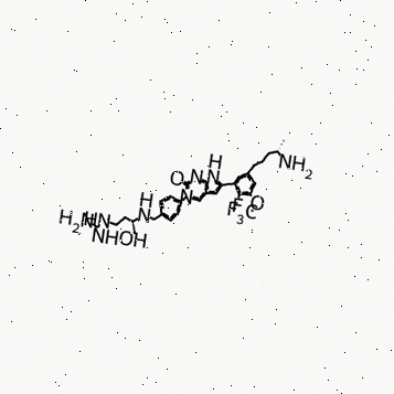 C[C@H](N)CCCc1cc(OC(F)(F)F)c(F)c(-c2cc3cn(-c4ccc(CN[C@@H](CO)CCNC(=N)N)cc4)c(=O)nc3[nH]2)c1